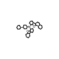 c1ccc(-c2ccc(N(c3cccc4c3oc3ccccc34)c3cccc4c3oc3c5ccccc5ccc43)cc2)cc1